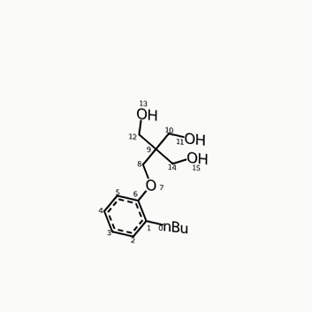 CCCCc1ccccc1OCC(CO)(CO)CO